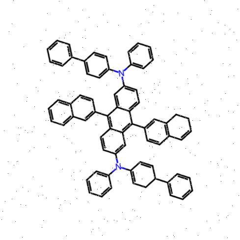 C1=Cc2ccc(-c3c4ccc(N(c5ccccc5)c5ccc(-c6ccccc6)cc5)cc4c(-c4ccc5ccccc5c4)c4ccc(N(C5=CCC(c6ccccc6)C=C5)c5ccccc5)cc34)cc2CC1